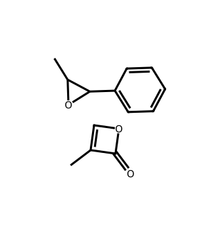 CC1=COC1=O.CC1OC1c1ccccc1